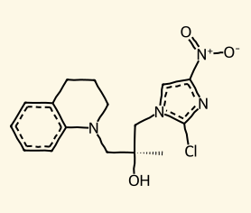 C[C@](O)(CN1CCCc2ccccc21)Cn1cc([N+](=O)[O-])nc1Cl